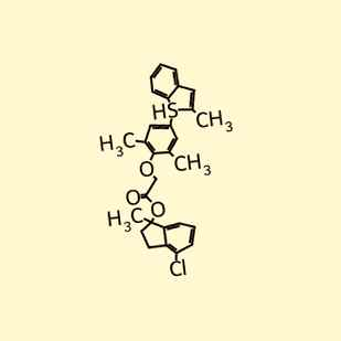 CC1=Cc2ccccc2[SH]1c1cc(C)c(OCC(=O)OC2(C)CCc3c(Cl)cccc32)c(C)c1